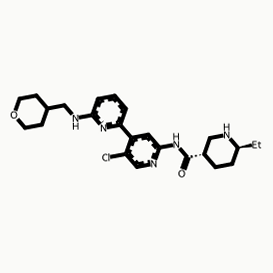 CC[C@H]1CC[C@H](C(=O)Nc2cc(-c3cccc(NCC4CCOCC4)n3)c(Cl)cn2)CN1